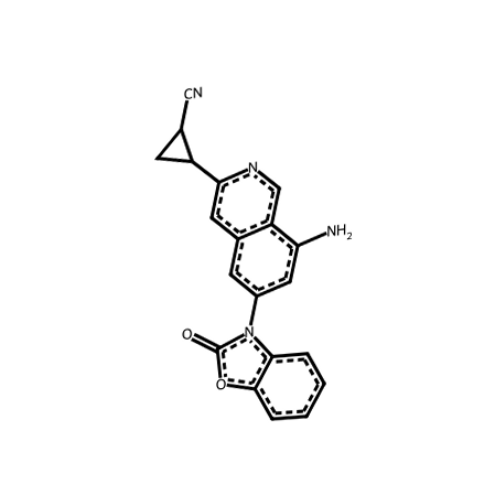 N#CC1CC1c1cc2cc(-n3c(=O)oc4ccccc43)cc(N)c2cn1